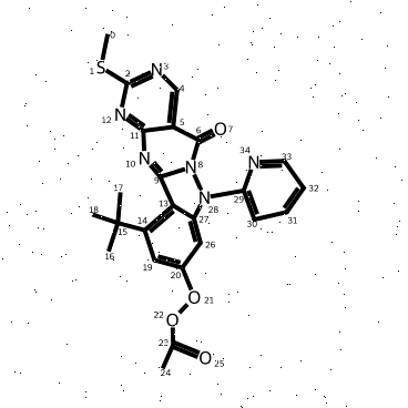 CSc1ncc2c(=O)n3c(nc2n1)c1c(C(C)(C)C)cc(OOC(C)=O)cc1n3-c1ccccn1